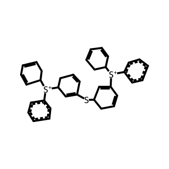 C1=CCC([S+](C2=CC(SC3=CC([S+](c4ccccc4)C4C=CC=CC4)CC=C3)CC=C2)c2ccccc2)C=C1